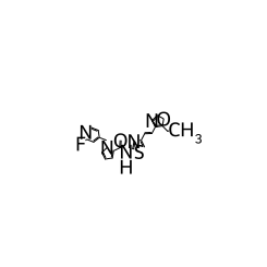 CCc1ocnc1C=Cc1csc(NC(=O)c2cccn2Cc2ccnc(F)c2)n1